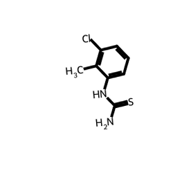 Cc1c(Cl)cccc1NC(N)=S